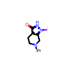 CC(C)N1CCc2c(n(I)[nH]c2=O)C1